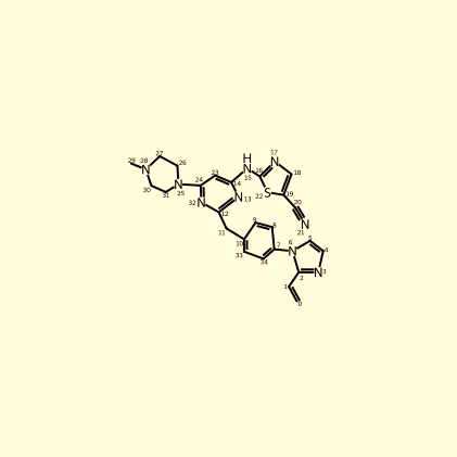 C=Cc1nccn1-c1ccc(Cc2nc(Nc3ncc(C#N)s3)cc(N3CCN(C)CC3)n2)cc1